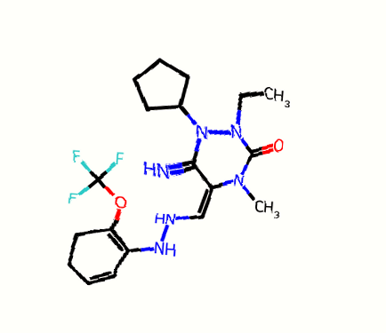 CCN1C(=O)N(C)/C(=C/NNC2=C(OC(F)(F)F)CCC=C2)C(=N)N1C1CCCC1